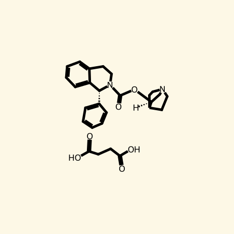 O=C(O)CCC(=O)O.O=C(O[C@H]1CN2CCC1CC2)N1CCc2ccccc2[C@H]1c1ccccc1